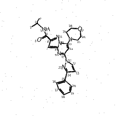 CC(C)NC(=O)c1cc2nc(-n3ccc(-c4ccccc4)n3)cc(N3CCOCC3)n2n1